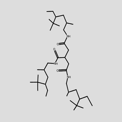 CCC(CC(C)CNC(=O)CC(CC(=O)NCC(C)CC(CC)C(C)(C)C)C(=O)NCC(C)CC(CC)C(C)(C)C)C(C)(C)C